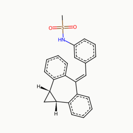 CS(=O)(=O)Nc1cccc(/C=C2\c3ccccc3[C@H]3C[C@H]3c3ccccc32)c1